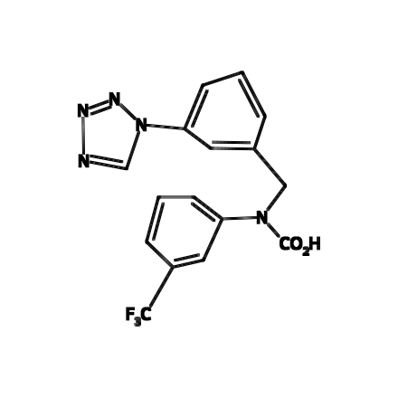 O=C(O)N(Cc1cccc(-n2cnnn2)c1)c1cccc(C(F)(F)F)c1